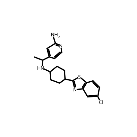 CC(NC1CCC(c2nc3cc(Cl)ccc3s2)CC1)c1ccnc(N)c1